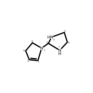 C1=CN([C]2NCCN2)CC1